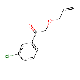 C=CCOCC(=O)c1cccc(Cl)c1